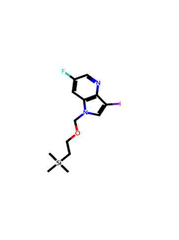 C[Si](C)(C)CCOCn1cc(I)c2ncc(F)cc21